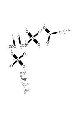 O=C([O-])[O-].O=C([O-])[O-].O=S(=O)([O-])[O-].O=S(=O)([O-])[O-].O=[Si]([O-])[O-].[Ba+2].[Ca+2].[Ca+2].[Mg+2].[Mg+2]